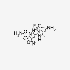 Cc1nc(N[C@H](C)c2cc(N)cc(C(F)(F)F)c2)c2cc(C(=O)N(C)C)c(N3CC[C@@H]3C(N)=O)nc2n1